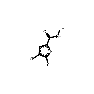 CC(C)NC(=O)c1cc(Cl)c(Cl)[nH]1